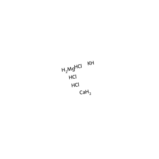 Cl.Cl.Cl.[CaH2].[KH].[MgH2]